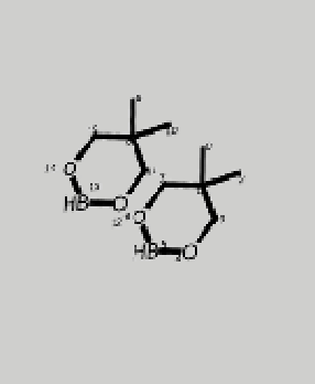 CC1(C)COBOC1.CC1(C)COBOC1